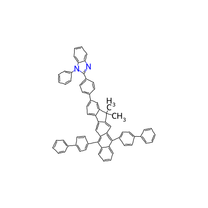 CC1(C)c2cc(-c3ccc(-c4nc5ccccc5n4-c4ccccc4)cc3)ccc2-c2cc3c(-c4ccc(-c5ccccc5)cc4)c4ccccc4c(-c4ccc(-c5ccccc5)cc4)c3cc21